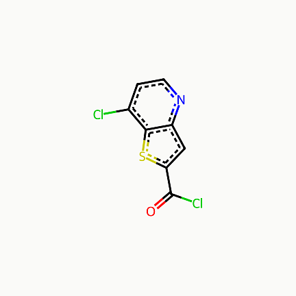 O=C(Cl)c1cc2nccc(Cl)c2s1